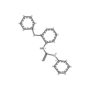 C=C(Nc1ccccc1Cc1ccccc1)Oc1ccccc1